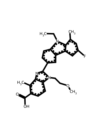 CCn1c2ccc(-c3nc4c(C)c(C(=O)O)ccc4n3CCOC)cc2c2cc(F)cc(C)c21